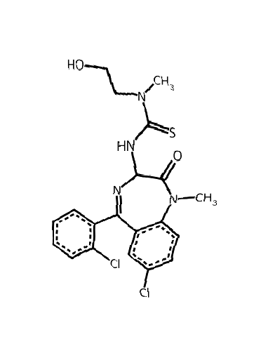 CN(CCO)C(=S)NC1N=C(c2ccccc2Cl)c2cc(Cl)ccc2N(C)C1=O